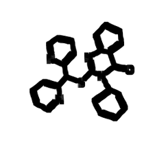 O=c1c2ccccc2nc(SC(c2ccccn2)c2ccccn2)n1-c1ccccc1